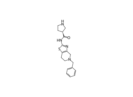 O=C(Nc1nc2c(s1)CCN(Cc1ccccc1)C2)[C@H]1CCNC1